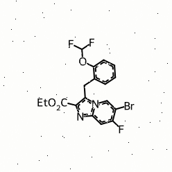 CCOC(=O)c1nc2cc(F)c(Br)cn2c1Cc1ccccc1OC(F)F